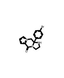 O=C1c2cccn2CC2(c3ccc(Br)cc3)NCCN12